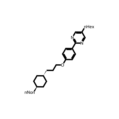 CCCCCCCCC[C@H]1CC[C@H](CCCOc2ccc(-c3ncc(CCCCCC)cn3)cc2)CC1